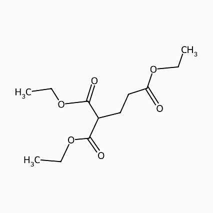 CCOC(=O)CCC(C(=O)OCC)C(=O)OCC